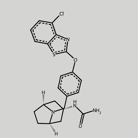 NC(=O)N[C@@H]1C[C@H]2CC[C@@H](C1)N2Cc1ccc(Oc2nc3c(Cl)cccc3s2)cc1